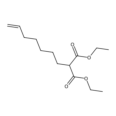 C=CCCCCCC(C(=O)OCC)C(=O)OCC